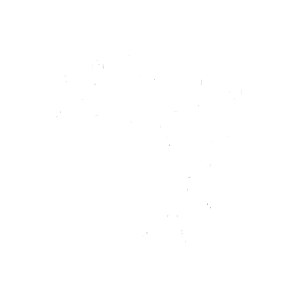 CC(C(=O)O)(c1ccc2c(c1)CNC2C(F)(F)F)c1ccc2c(c1)CNC2C(F)(F)F